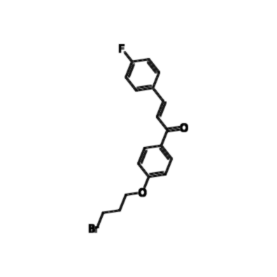 O=C(/C=C/c1ccc(F)cc1)c1ccc(OCCCBr)cc1